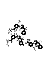 CONC(=O)c1ccc(C)c(-n2ncc(C(=O)c3cccc(I)c3)c2N)c1.CONC(=O)c1ccc(C)c(-n2ncc(C(=O)c3ccccc3)c2N)c1.Cc1ccc(C(=O)O)cc1-n1ncc(C(=O)c2ccccc2)c1N